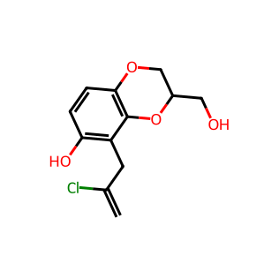 C=C(Cl)Cc1c(O)ccc2c1OC(CO)CO2